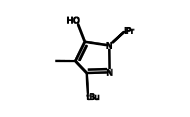 Cc1c(C(C)(C)C)nn(C(C)C)c1O